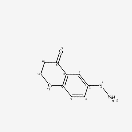 NSc1ccc2c(c1)C(=O)CCO2